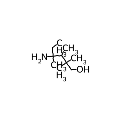 CCC(C)(N)C(C)C(C)(C)CO